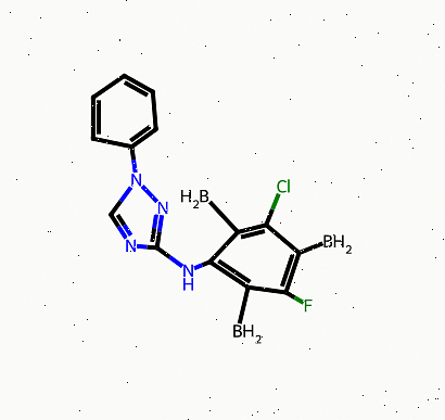 Bc1c(F)c(B)c(Nc2ncn(-c3ccccc3)n2)c(B)c1Cl